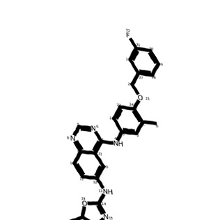 Cc1cc(Nc2ncnc3ccc(NC4=NCC(C)O4)cc23)ccc1OCc1cccc(F)c1